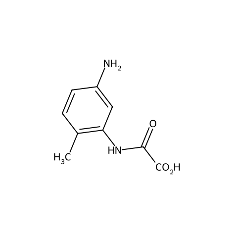 Cc1ccc(N)cc1NC(=O)C(=O)O